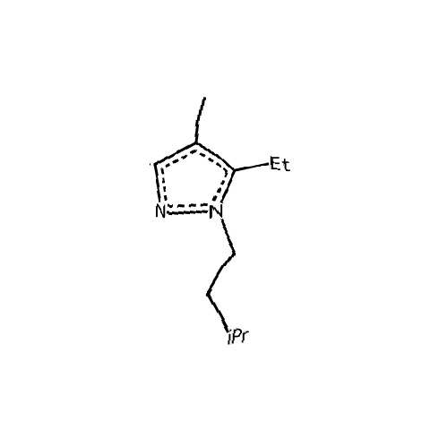 CCc1c(C)[c]nn1CCC(C)C